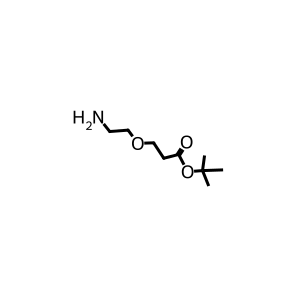 CC(C)(C)OC(=O)CCOCCN